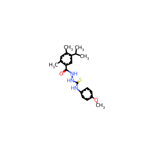 COc1ccc(NC(=S)NNC(=O)c2cc(C(C)C)c(C)cc2C)cc1